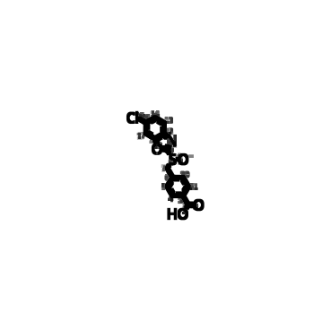 O=C(O)c1ccc(C[S+]([O-])c2nc3ccc(Cl)cc3o2)cc1